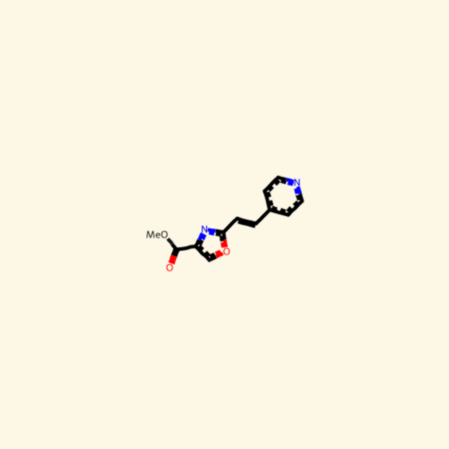 COC(=O)c1coc(C=Cc2ccncc2)n1